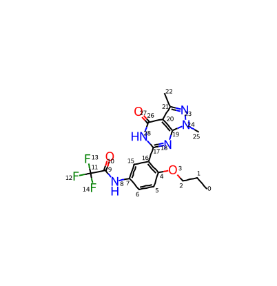 CCCOc1ccc(NC(=O)C(F)(F)F)cc1-c1nc2c(c(C)nn2C)c(=O)[nH]1